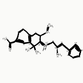 COC1Cc2ccc(C(N)=O)cc2C(C)(C)C1NC[C@H](N)Cc1ccccc1